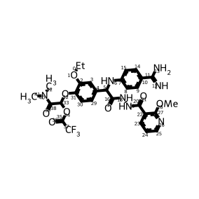 CCOc1cc(C(Nc2ccc(C(=N)N)cc2)C(=O)NNC(=O)c2cccnc2OC)ccc1OC(OC(=O)C(F)(F)F)C(=O)N(C)C